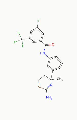 CC1(c2cccc(NC(=O)c3cc(F)cc(C(F)(F)F)c3)c2)CCSC(N)=N1